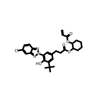 C=CC(=O)OC1CCCCC1OC(=O)CCc1cc(-n2nc3ccc(Cl)cc3n2)c(O)c(C(C)(C)C)c1